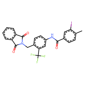 Cc1ccc(C(=O)Nc2ccc(CN3C(=O)c4ccccc4C3=O)c(C(F)(F)F)c2)cc1I